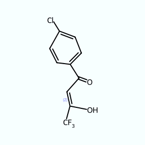 O=C(/C=C(\O)C(F)(F)F)c1ccc(Cl)cc1